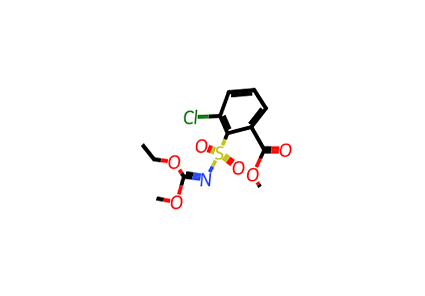 CCOC(=NS(=O)(=O)c1c(Cl)cccc1C(=O)OC)OC